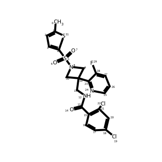 Cc1ccc(S(=O)(=O)N2CC(CNC(=O)c3ccc(Cl)cc3Cl)(c3ncccc3F)C2)s1